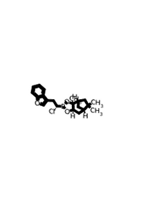 CC1(C)C[C@@H]2C[C@H]1C[C@H]1OB([C@H](Cl)Cc3coc4ccccc34)O[C@@]21C